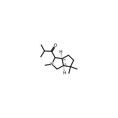 CC(C)C(=O)C1[C@H]2CCC(C)(C)[C@H]2CN1C